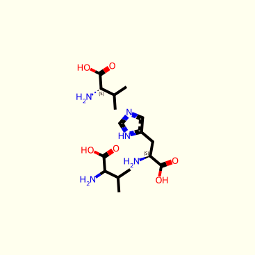 CC(C)C(N)C(=O)O.CC(C)[C@H](N)C(=O)O.N[C@@H](Cc1cnc[nH]1)C(=O)O